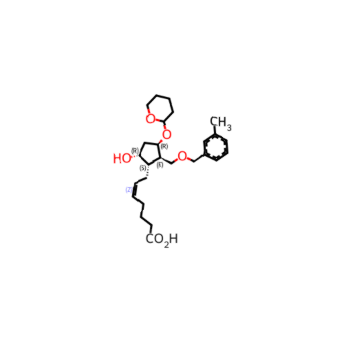 Cc1cccc(COC[C@H]2[C@H](C/C=C\CCCC(=O)O)[C@H](O)C[C@H]2OC2CCCCO2)c1